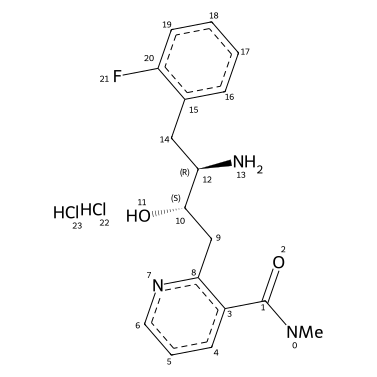 CNC(=O)c1cccnc1C[C@H](O)[C@H](N)Cc1ccccc1F.Cl.Cl